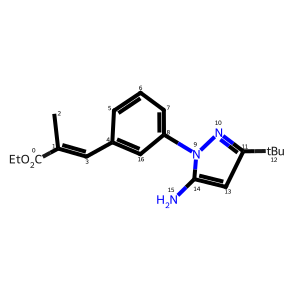 CCOC(=O)C(C)=Cc1cccc(-n2nc(C(C)(C)C)cc2N)c1